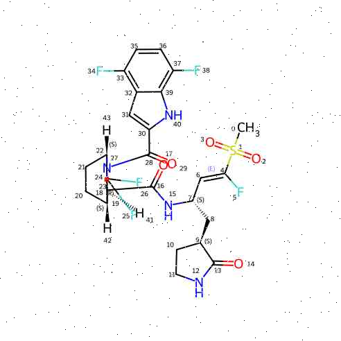 CS(=O)(=O)/C(F)=C/[C@H](C[C@@H]1CCNC1=O)NC(=O)[C@H]1[C@@H]2CC[C@@H](CC2(F)F)N1C(=O)c1cc2c(F)ccc(F)c2[nH]1